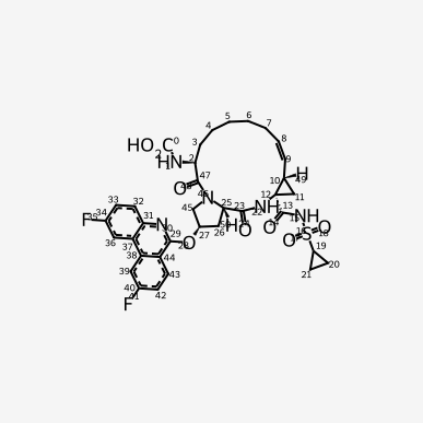 O=C(O)N[C@H]1CCCCCC=C[C@@H]2C[C@@]2(C(=O)NS(=O)(=O)C2CC2)NC(=O)[C@@H]2C[C@@H](Oc3nc4ccc(F)cc4c4cc(F)ccc34)CN2C1=O